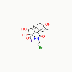 C=C1C[C@]23C[C@@]1(O)CC[C@H]2C1=C[C@@H](O)[C@H](O)[C@@](C)(C(=O)I)C1[C@@H]3C(=O)NCCBr